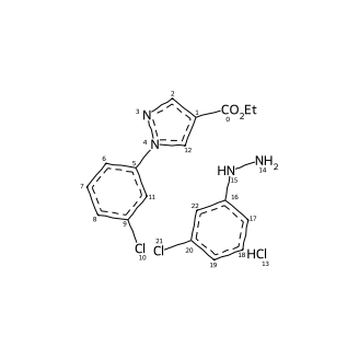 CCOC(=O)c1cnn(-c2cccc(Cl)c2)c1.Cl.NNc1cccc(Cl)c1